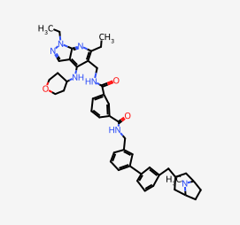 CCc1nc2c(cnn2CC)c(NC2CCOCC2)c1CNC(=O)c1cccc(C(=O)NCc2cccc(-c3cccc(CC4CC5CCC(C4)N5C)c3)c2)c1